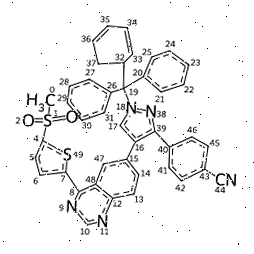 CS(=O)(=O)c1ccc(-c2ncnc3ccc(-c4cn(C(c5ccccc5)(c5ccccc5)C5C=CC=CC5)nc4-c4ccc(C#N)cc4)cc23)s1